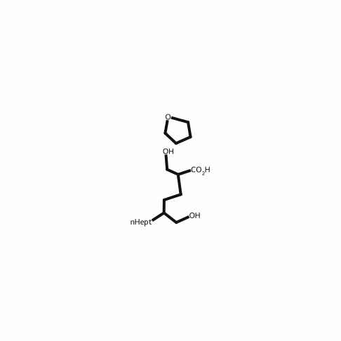 C1CCOC1.CCCCCCCC(CO)CCC(CO)C(=O)O